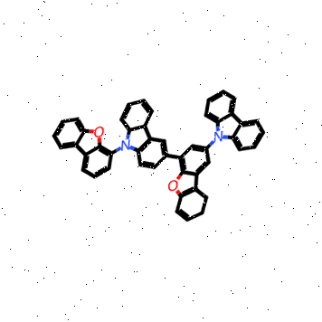 C1=CC2c3cc(-c4cc(-n5c6ccccc6c6ccccc65)cc5c6c(oc45)C=CCC6)ccc3N(c3cccc4c3oc3ccccc34)C2C=C1